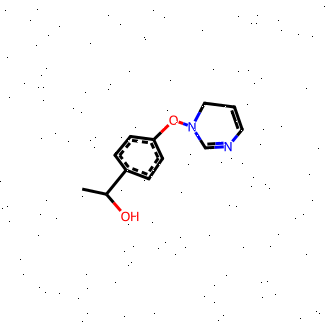 CC(O)c1ccc(ON2C=NC=CC2)cc1